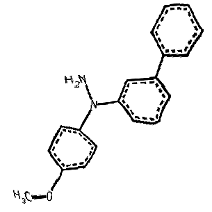 COc1ccc(N(N)c2cccc(-c3ccccc3)c2)cc1